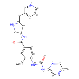 COc1cc(C(=O)NC2CNC(Cc3cccnc3)C2)ccc1NC(=O)Nc1cnc(C)cn1